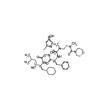 CC(C)C[C@H](O)[C@H](CC1CCCCC1)NC(=O)[C@H](Cc1c[nH]cn1)N(C)C(=O)[C@H](Cc1ccccc1)NC(=O)N(C)CCN(C)C(=O)N1CCOCC1.Cl